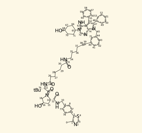 Cc1ncsc1-c1ccc(CNC(=O)[C@@H]2C[C@@H](O)CN2C(=O)[C@@H](NC(=O)CCCCCC(=O)NCCCCC#Cc2cccc(Cn3c(-c4ccccc4)c(-c4ccccc4)c4c(=N)n(C5CCC(O)CC5)cnc43)c2)C(C)(C)C)cc1